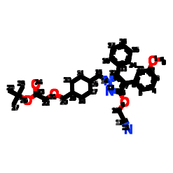 COc1cccc(-c2c(OCC#N)nn(CC3CCC(COCC(=O)OC(C)(C)C)CC3)c2-c2ccccc2)c1